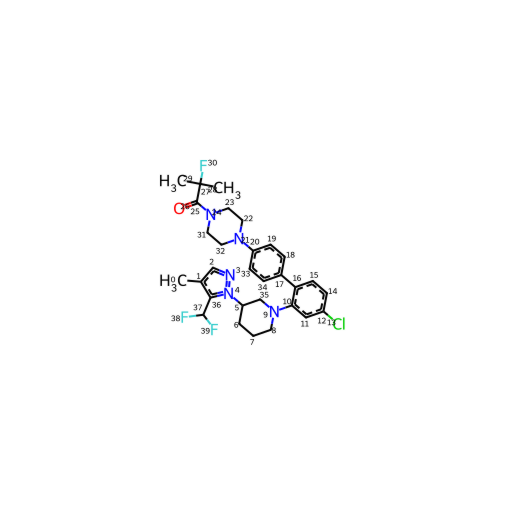 Cc1cnn(C2CCCN(c3cc(Cl)ccc3-c3ccc(N4CCN(C(=O)C(C)(C)F)CC4)cc3)C2)c1C(F)F